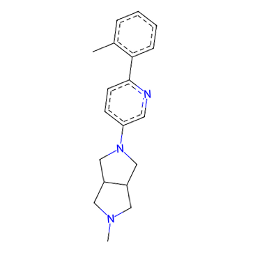 Cc1ccccc1-c1ccc(N2CC3CN(C)CC3C2)cn1